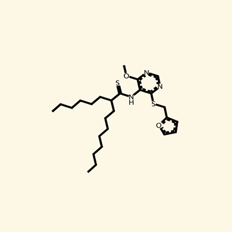 CCCCCCCCC(CCCCCC)C(=S)Nc1c(OC)ncnc1SCc1ccco1